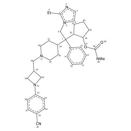 CCc1nccn1CC(c1ccccc1)(C1CCN(CC2CN(c3ccc(C#N)cc3)C2)CC1)C1CCCC1OC(=O)NC